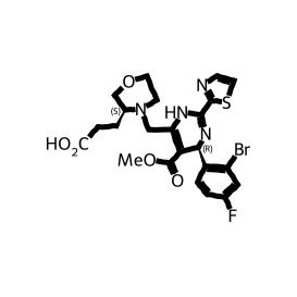 COC(=O)C1=C(CN2CCOC[C@@H]2CCC(=O)O)NC(c2nccs2)=N[C@H]1c1ccc(F)cc1Br